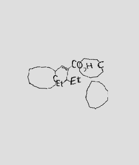 C1CCCCCCCCC1.C1CCCCCCCCC1.CCC(CC)C(=CC1CCCCCCCCC1)C(=O)O